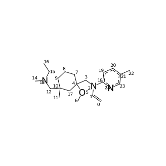 C=CN(CC1(OC)CCCC(C)(CN(C)CC)C1)c1ccc(C)cn1